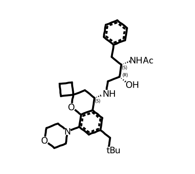 CC(=O)N[C@@H](Cc1ccccc1)[C@H](O)CN[C@H]1CC2(CCC2)Oc2c1cc(CC(C)(C)C)cc2N1CCOCC1